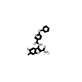 Cc1cc2oc(C(N)=O)c(NC(=O)c3ccc(Oc4ccccc4)nc3)c2cc1F